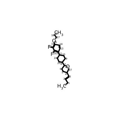 CC/C=C/C1CCC(C2CCC(c3ccc(OCCC)c(F)c3F)CC2)OC1